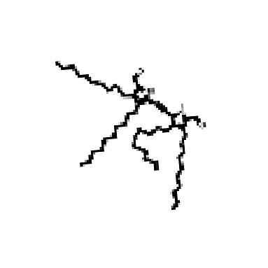 CCCCCCCCCCc1c(C#Cc2[nH]c(C=O)c(CCCCCCCCCC)c2CCCCCCCCCC)[nH]c(C=O)c1CCCCCCCCCC